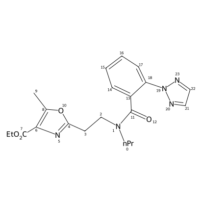 CCCN(CCc1nc(C(=O)OCC)c(C)o1)C(=O)c1ccccc1-n1nccn1